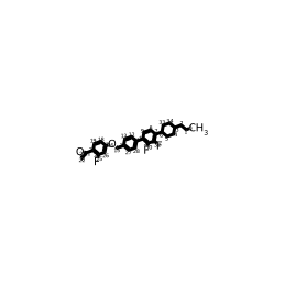 CCCC1CCC(c2ccc(-c3ccc(COc4ccc(C5CO5)c(F)c4)cc3)c(F)c2F)CC1